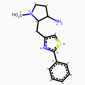 NC1CCN(C(=O)O)C1Cc1csc(-c2ccccc2)n1